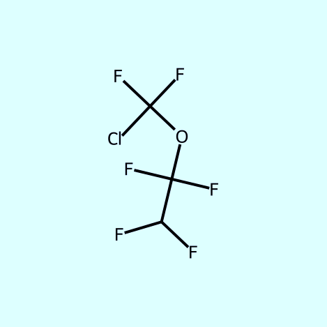 FC(F)C(F)(F)OC(F)(F)Cl